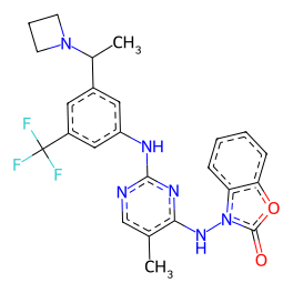 Cc1cnc(Nc2cc(C(C)N3CCC3)cc(C(F)(F)F)c2)nc1Nn1c(=O)oc2ccccc21